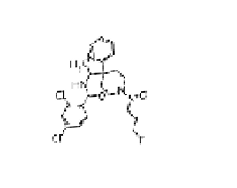 CC(NC(=O)c1ccc(Cl)cc1Cl)C1(c2ccccn2)CCN([S+]([O-])CCCF)CC1